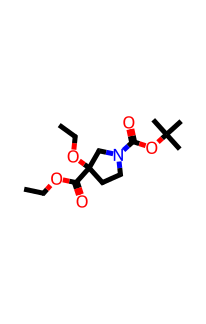 CCOC(=O)C1(OCC)CCN(C(=O)OC(C)(C)C)C1